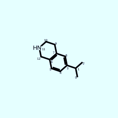 CC(C)c1ccc2c(c1)CCNC2